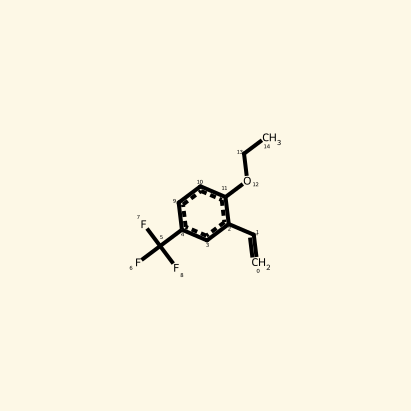 C=[C]c1cc(C(F)(F)F)ccc1OCC